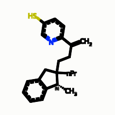 C=C(CCC1(CCC)Cc2ccccc2[C@H]1C)c1ccc(S)cn1